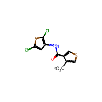 O=C(O)c1cscc1C(=O)Nc1cc(Cl)sc1Cl